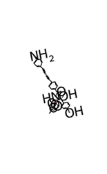 CC12COC([C@@H](NC(=O)c3ccc(C#CC#Cc4ccc(N)cc4)cc3)[C@@H](O)c3ccc(O)cc3)(OC1)OC2